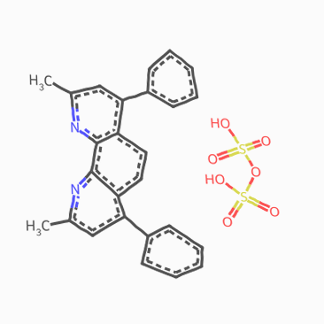 Cc1cc(-c2ccccc2)c2ccc3c(-c4ccccc4)cc(C)nc3c2n1.O=S(=O)(O)OS(=O)(=O)O